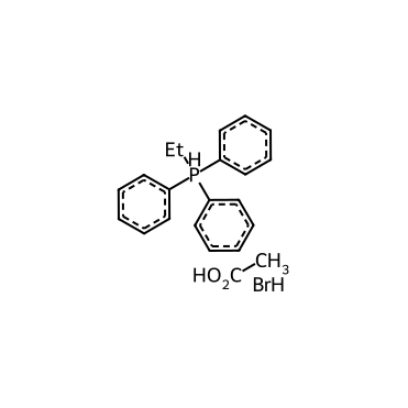 Br.CC(=O)O.CC[PH](c1ccccc1)(c1ccccc1)c1ccccc1